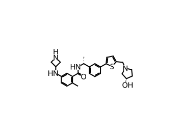 Cc1ccc(NC2CNC2)cc1C(=O)N[C@H](C)c1cccc(-c2ccc(CN3CC[C@H](O)C3)s2)c1